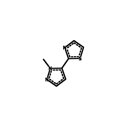 Cn1nccc1-c1nccs1